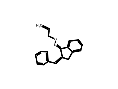 C=CCON=C1C(=Cc2ccccc2)Cc2ccccc21